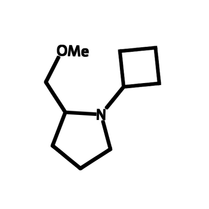 COCC1CCCN1C1CCC1